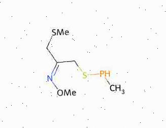 CO/N=C(/CSC)CSPC